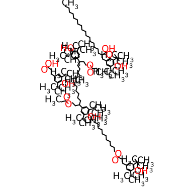 CC(C)(C)c1cc(CCC(=O)O)cc(C(C)(C)C)c1O.CCCCCC(CCOC(=O)CC)c1cc(C(C)(C)C)c(O)c(C(C)(C)C)c1.CCCCCCCC(CCOC(=O)CC)c1cc(C(C)(C)C)c(O)c(C(C)(C)C)c1.CCCCCCCCCCCCCCCCCCC(Cc1cc(C(C)(C)C)c(O)c(C(C)(C)C)c1)C(=O)O.CCCCCCCCCCCCOC(=O)CCc1cc(C(C)(C)C)c(O)c(C(C)(C)C)c1